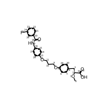 CO[C@@H](Cc1ccc(OCCCOc2ccc(NC(=O)c3cccc(F)c3)cc2)cc1)C(=O)O